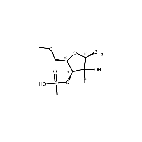 B[C@@H]1O[C@H](COC)[C@H](OP(C)(=O)O)C1(O)F